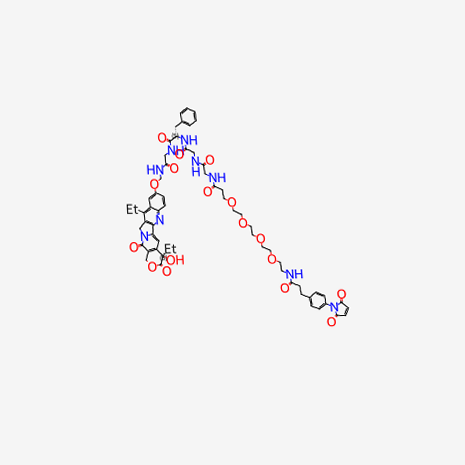 CCc1c2c(nc3ccc(OCNC(=O)CNC(=O)[C@H](Cc4ccccc4)NC(=O)CNC(=O)CNC(=O)CCOCCOCCOCCOCCNC(=O)CCc4ccc(N5C(=O)C=CC5=O)cc4)cc13)-c1cc3c(c(=O)n1C2)COC(=O)[C@]3(O)CC